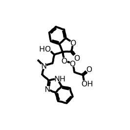 CN(Cc1nc2ccccc2[nH]1)CC(O)C1(OOCC(=O)O)C(=O)Oc2ccccc21